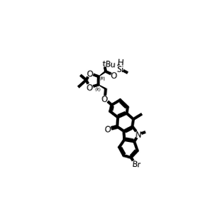 CC1c2ccc(OC[C@H]3OC(C)(C)O[C@H]3C(O[SiH](C)C)C(C)(C)C)cc2C(=O)c2c1n(C)c1cc(Br)ccc21